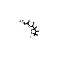 C=CC(=O)OC(F)C(F)(F)C(F)C(F)(F)C(F)(F)F